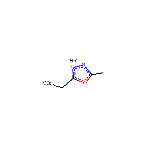 Cc1nnc(CC(=O)[O-])o1.[Na+]